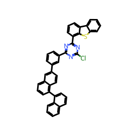 Clc1nc(-c2cccc(-c3ccc4c(-c5cccc6ccccc56)cccc4c3)c2)nc(-c2cccc3c2sc2ccccc23)n1